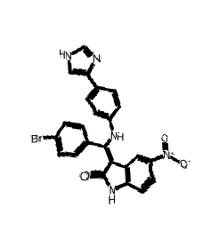 O=C1Nc2ccc([N+](=O)[O-])cc2C1=C(Nc1ccc(-c2c[nH]cn2)cc1)c1ccc(Br)cc1